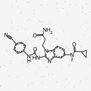 CN(C(=O)C1CC1)c1ccc2c(c1)nc(NC(=O)Nc1ccc(C#N)cc1)n2CCC(N)=O